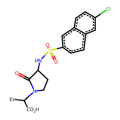 CCC(C(=O)O)N1CCC(NS(=O)(=O)c2ccc3cc(Cl)ccc3c2)C1=O